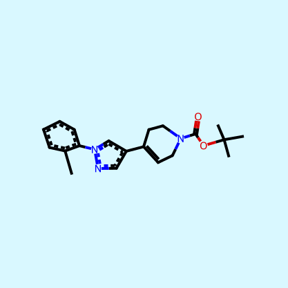 Cc1ccccc1-n1cc(C2=CCN(C(=O)OC(C)(C)C)CC2)cn1